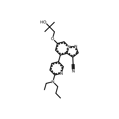 CCCN(CC)c1ccc(-c2cc(OCC(C)(C)O)cn3ncc(C#N)c23)cn1